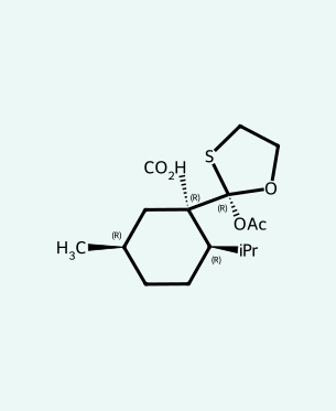 CC(=O)O[C@@]1([C@]2(C(=O)O)C[C@H](C)CC[C@@H]2C(C)C)OCCS1